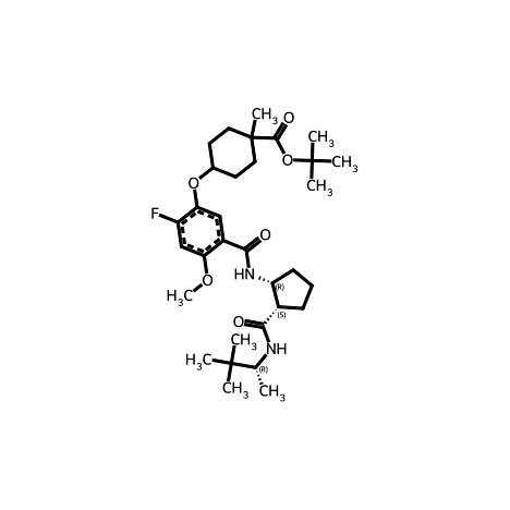 COc1cc(F)c(OC2CCC(C)(C(=O)OC(C)(C)C)CC2)cc1C(=O)N[C@@H]1CCC[C@@H]1C(=O)N[C@H](C)C(C)(C)C